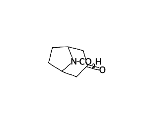 O=C1CC2CCC(C1)N2C(=O)O